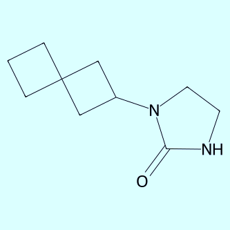 O=C1NCCN1C1CC2(CCC2)C1